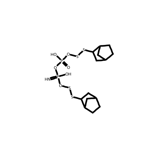 N=P(O)(OSSC1CC2CCC1C2)OP(=O)(O)OSSC1CC2CCC1C2